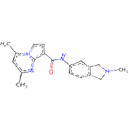 Cc1cc(C)n2ccc(C(=O)Nc3ccc4c(c3)CN(C)C4)c2n1